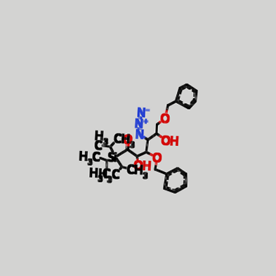 CC(C)[Si](C(=O)C(O)C(OCc1ccccc1)C(N=[N+]=[N-])C(O)COCc1ccccc1)(C(C)C)C(C)C